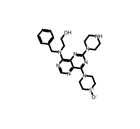 [O-][S+]1CCN(c2nc(N3CCNCC3)nc3c(N(CCO)Cc4ccccc4)ncnc23)CC1